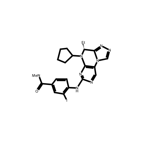 CC[C@@H]1c2nncn2-c2cnc(Nc3ccc(C(=O)NC)cc3I)nc2N1C1CCCC1